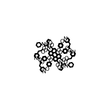 O=C(NC1CCCCC1)C(c1ccco1)N1C(=O)c2cc(Oc3ccc(Oc4cc(CC5CO5)ccn4)cc3)c3c4c(Oc5ccc(Oc6cc(CC7CO7)ccn6)cc5)cc5c6c(cc(Oc7ccc(Oc8cc(CC9CO9)ccn8)cc7)c(c7c(Oc8ccc(Oc9cc(CC%10CO%10)ccn9)cc8)cc(c2c37)C1=O)c64)C(=O)N(C(C(=O)NC1CCCCC1)c1ccco1)C5=O